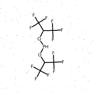 FC(F)(F)C(OPOC(C(F)(F)F)C(F)(F)F)C(F)(F)F